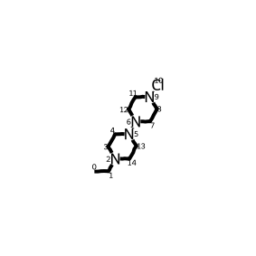 CCN1CCN(N2CCN(Cl)CC2)CC1